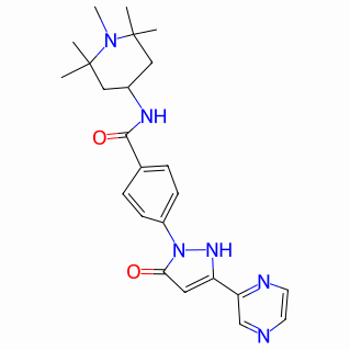 CN1C(C)(C)CC(NC(=O)c2ccc(-n3[nH]c(-c4cnccn4)cc3=O)cc2)CC1(C)C